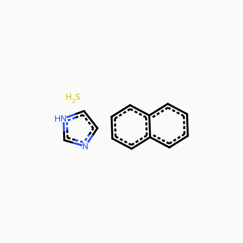 S.c1c[nH]cn1.c1ccc2ccccc2c1